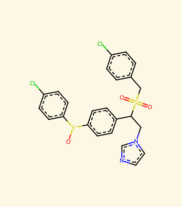 O=S(=O)(Cc1ccc(Cl)cc1)C(Cn1ccnc1)c1ccc([S+]([O-])c2ccc(Cl)cc2)cc1